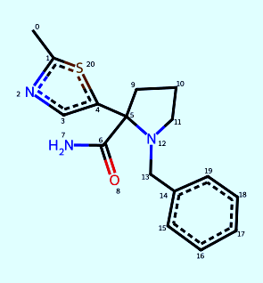 Cc1ncc(C2(C(N)=O)CCCN2Cc2ccccc2)s1